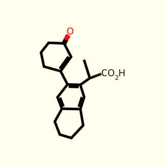 CC(C(=O)O)c1cc2c(cc1C1=CC(=O)CCC1)CCCC2